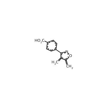 C=c1onc(-c2ccc(C(=O)O)cc2)c1=C